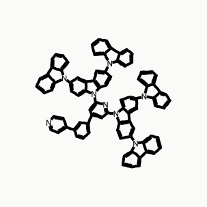 c1cc(-c2ccncc2)cc(-c2cc(-n3c4ccc(-n5c6ccccc6c6ccccc65)cc4c4cc(-n5c6ccccc6c6ccccc65)ccc43)nc(-n3c4ccc(-n5c6ccccc6c6ccccc65)cc4c4cc(-n5c6ccccc6c6ccccc65)ccc43)c2)c1